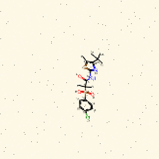 Cc1sc(NC(=O)C(C)(C)S(=O)(=O)c2ccc(Cl)cc2)nc1C(C)(C)C